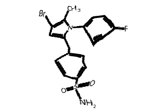 Cc1c(Br)cc(-c2ccc(S(N)(=O)=O)cc2)n1-c1ccc(F)cc1